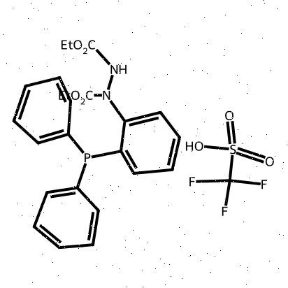 CCOC(=O)NN(C(=O)OCC)c1ccccc1P(c1ccccc1)c1ccccc1.O=S(=O)(O)C(F)(F)F